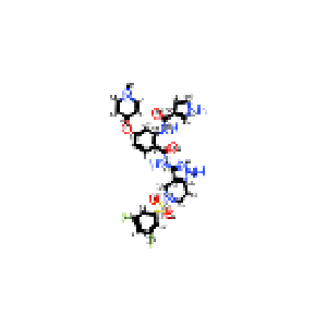 CN1CCC(Oc2ccc(C(=O)Nc3n[nH]c4c3CN(S(=O)(=O)c3cc(F)cc(F)c3)CC4)c(NC(=O)c3cc[nH]c3)c2)CC1